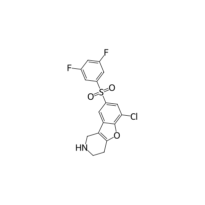 O=S(=O)(c1cc(F)cc(F)c1)c1cc(Cl)c2oc3c(c2c1)CNCC3